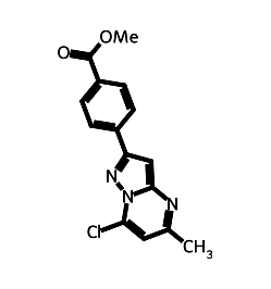 COC(=O)c1ccc(-c2cc3nc(C)cc(Cl)n3n2)cc1